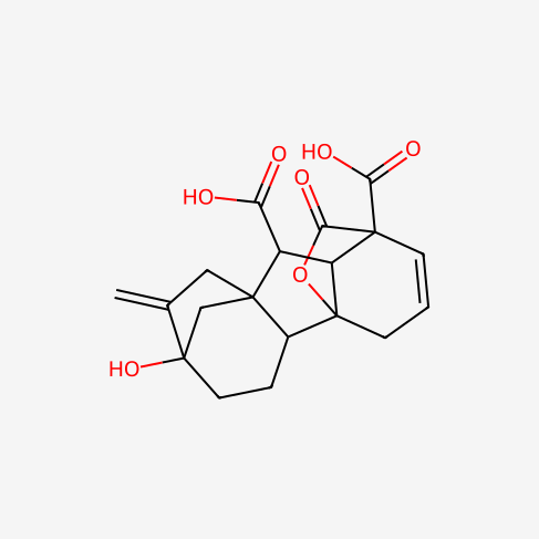 C=C1CC23CC1(O)CCC2C12CC=CC(C(=O)O)(C(=O)O1)C2C3C(=O)O